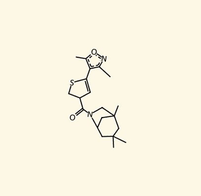 Cc1noc(C)c1C1=CC(C(=O)N2CC3(C)CC2CC(C)(C)C3)CS1